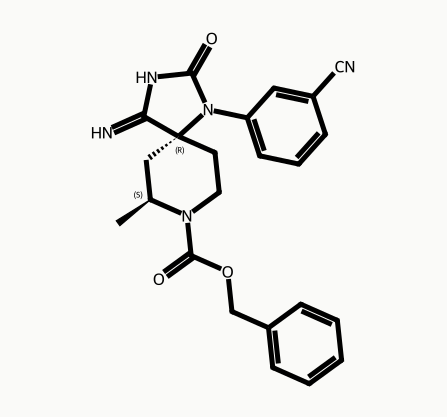 C[C@H]1C[C@]2(CCN1C(=O)OCc1ccccc1)C(=N)NC(=O)N2c1cccc(C#N)c1